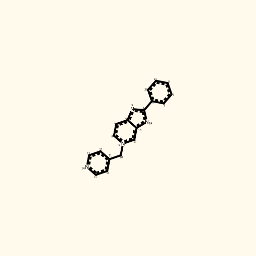 c1ccc(-c2nc3ccn(Cc4ccncc4)cc-3n2)cc1